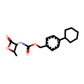 CC1OC(=O)C1NC(=O)OCc1ccc(C2CCCCC2)cc1